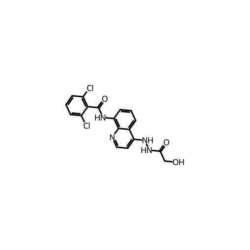 O=C(CO)NNc1ccnc2c(NC(=O)c3c(Cl)cccc3Cl)cccc12